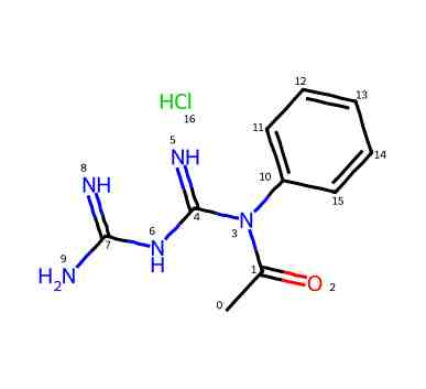 CC(=O)N(C(=N)NC(=N)N)c1ccccc1.Cl